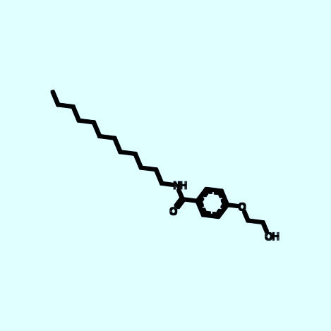 CCCCCCCCCCCCNC(=O)c1ccc(OCCO)cc1